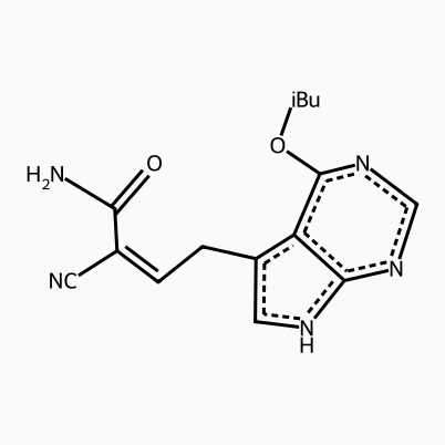 CCC(C)Oc1ncnc2[nH]cc(CC=C(C#N)C(N)=O)c12